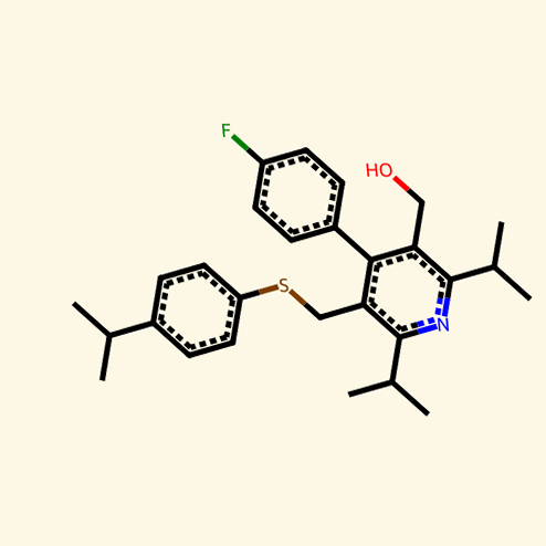 CC(C)c1ccc(SCc2c(C(C)C)nc(C(C)C)c(CO)c2-c2ccc(F)cc2)cc1